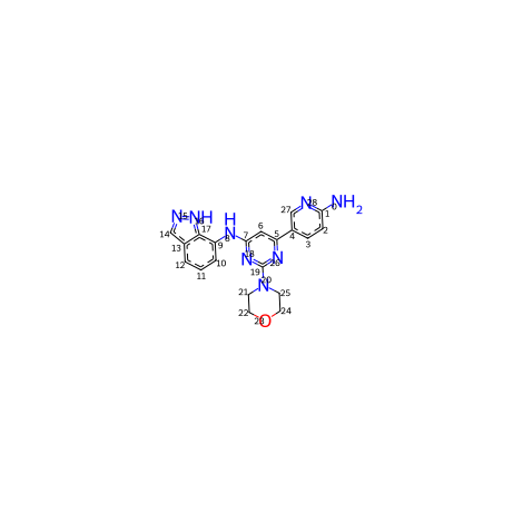 Nc1ccc(-c2cc(Nc3cccc4cn[nH]c34)nc(N3CCOCC3)n2)cn1